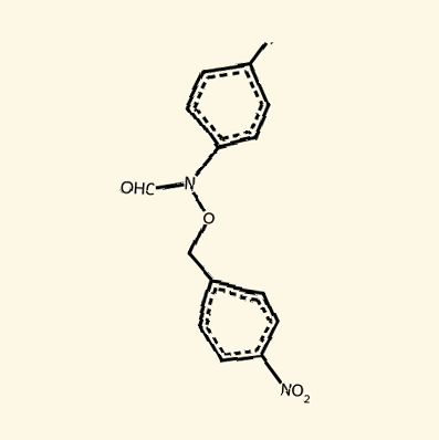 [CH2]c1ccc(N(C=O)OCc2ccc([N+](=O)[O-])cc2)cc1